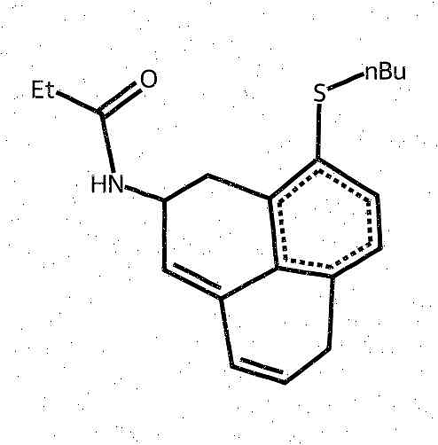 CCCCSc1ccc2c3c1CC(NC(=O)CC)C=C3C=CC2